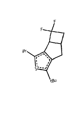 CC(C)c1sc(C(C)(C)C)c2c1C1C(C2)CC1(F)F